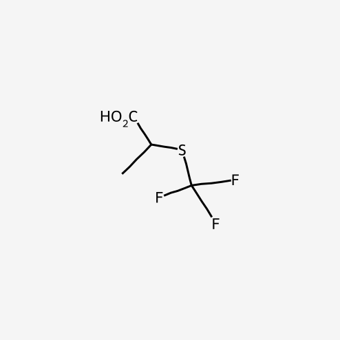 CC(SC(F)(F)F)C(=O)O